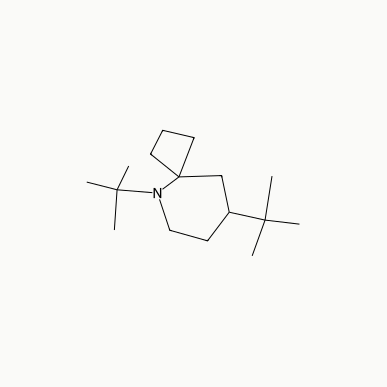 CC(C)(C)C1CCN(C(C)(C)C)C2(CCC2)C1